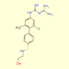 Cc1cc(NC(=N)N=C(N)N)cc(Cl)c1-c1ccc(SNCCO)cc1